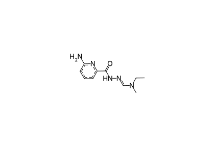 CCN(C)/C=N/NC(=O)c1cccc(N)n1